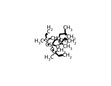 C=C[Si](C)(C)O[Si](COCC(=C)C)(O[Si](C)(C)C=C)O[Si](C)(C)C=C